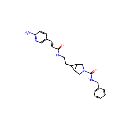 Nc1ccc(/C=C/C(=O)NCCC2C3CN(C(=O)NCc4ccccc4)CC23)cn1